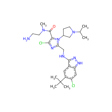 CC(C)N1CCC(n2c(CNc3n[nH]c4cc(Cl)c(C(C)(C)C)cc34)nc(Cl)c2C(=O)N(C)CCN)C1